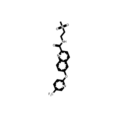 CS(=O)(=O)CCNC(=O)c1ccc2cc(Oc3ccc(C(F)(F)F)cn3)ccc2n1